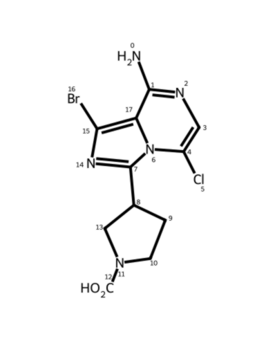 Nc1ncc(Cl)n2c(C3CCN(C(=O)O)C3)nc(Br)c12